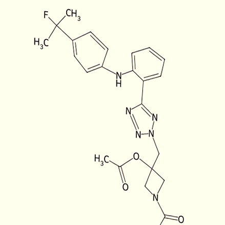 CC(=O)OC1(Cn2nnc(-c3ccccc3Nc3ccc(C(C)(C)F)cc3)n2)CN(C(C)=O)C1